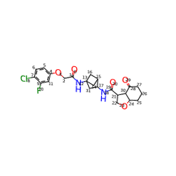 O=C(COc1ccc(Cl)c(F)c1)NC12CC(C1)C(NC(=O)C1COC3CCCC(=O)C31)C2